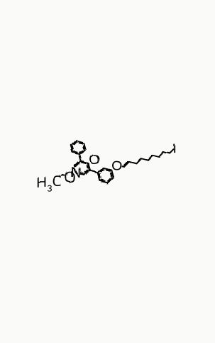 CCOn1cc(-c2ccccc2)c(=O)c(-c2cccc(OC=CCCCCCCCI)c2)c1